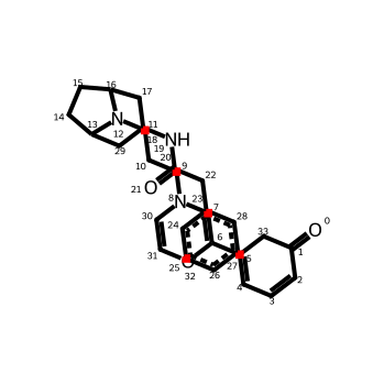 O=C1C=CC=C(C2=CN(CCCN3C4CCC3CC(NC(=O)Cc3ccccc3)C4)C=CO2)C1